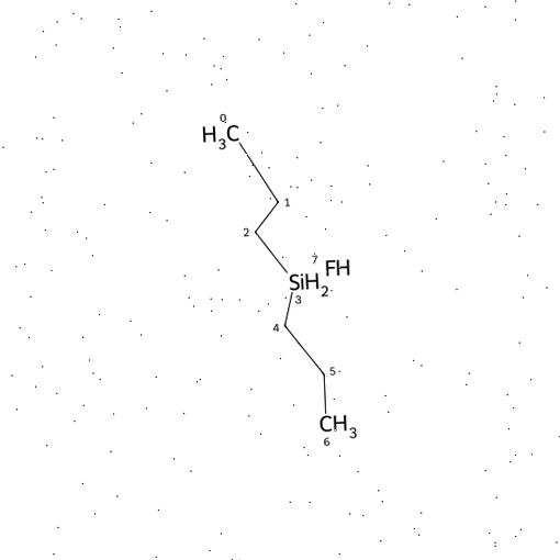 CCC[SiH2]CCC.F